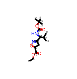 CCOC(=O)C1CC(C(NC(=O)OC(C)(C)C)C(C)C)=NO1